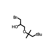 CC(C)(C)CC(C)(C)OCC(O)CBr